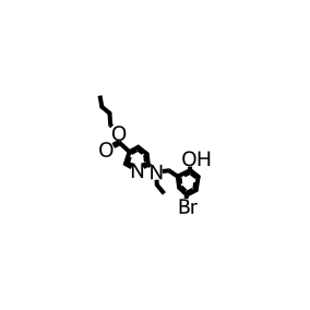 CCCCOC(=O)c1ccc(N(CC)Cc2cc(Br)ccc2O)nc1